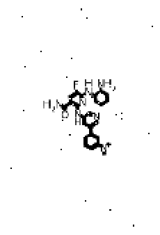 CN(C)c1cccc(-c2cncc(Nc3nc(N[C@@H]4CCCC[C@@H]4N)c(F)cc3C(N)=O)c2)c1